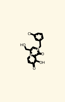 O=c1ccn2c(CO)cn(Cc3cccc(Cl)c3)c(=O)c2c1O